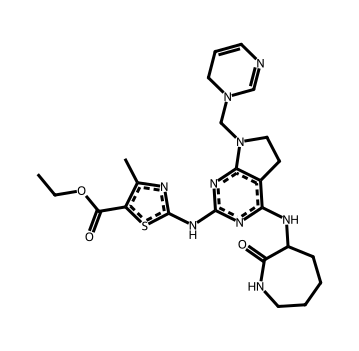 CCOC(=O)c1sc(Nc2nc(NC3CCCCNC3=O)c3c(n2)N(CN2C=NC=CC2)CC3)nc1C